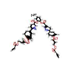 C=CC(=O)OCCCOc1ccc(-c2ccc(C(=O)Oc3ccc(C#N)cc3OC(=O)c3ccc(-c4ccc(OCCCOC(=O)C=C)cc4)nc3)cn2)cc1